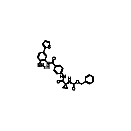 Nc1ccc(-c2cccs2)cc1NC(=O)c1ccc(NC(=O)C2(NC(=O)OCc3ccccc3)CC2)cc1